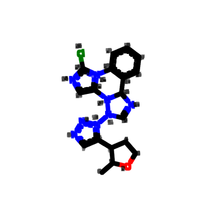 CC1OCCC1c1cnnn1N1C=NC2c3ccccc3-n3c(cnc3Cl)N21